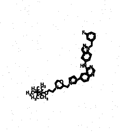 CC(C)(C)[Si](C)(C)OCCN1CCOC(Cn2ccc(-c3ccc4ncnc(Nc5ccc6c(cnn6Cc6cccc(F)c6)c5)c4c3)c2)C1